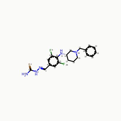 NC(=S)NN=Cc1cc(F)c(N[C@H]2CCCN(Cc3ccccc3)C2)c(F)c1